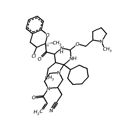 C=CC(=O)N1CCN(C2(C3CCCCCC3)NC(OCC3CCCN3C)NC(C(=O)[C@]3(C)Oc4ccccc4CC3Cl)C2CC)CC1CC#N